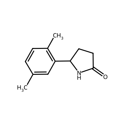 Cc1ccc(C)c(C2CCC(=O)N2)c1